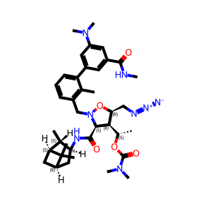 CNC(=O)c1cc(-c2cccc(CN3O[C@@H](CN=[N+]=[N-])[C@@H]([C@H](C)OC(=O)N(C)C)[C@H]3C(=O)N[C@H]3C[C@H]4C[C@@H]([C@@H]3C)C4(C)C)c2C)cc(N(C)C)c1